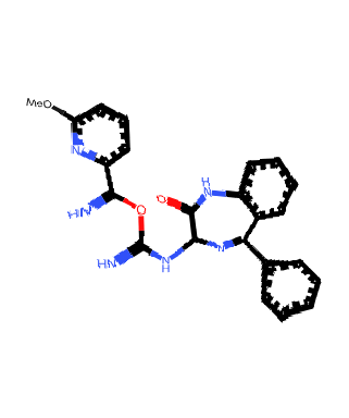 COc1cccc(C(=N)OC(=N)NC2N=C(c3ccccc3)c3ccccc3NC2=O)n1